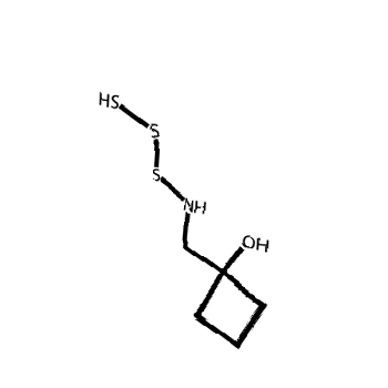 OC1(CNSSS)CCC1